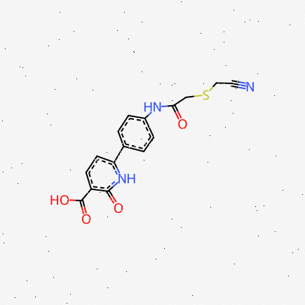 N#CCSCC(=O)Nc1ccc(-c2ccc(C(=O)O)c(=O)[nH]2)cc1